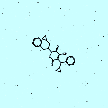 O=C1OC(C(Cc2ccccc2)CC2CC2)C(=O)C(O)=C1C(c1ccccc1)C1CC1